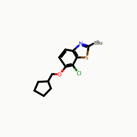 CC(C)(C)c1nc2ccc(OCC3CCCC3)c(Cl)c2s1